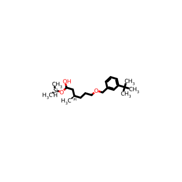 C[C@H](CCCOCc1cccc(C(C)(C)C)c1)CC(O)O[SiH](C)C